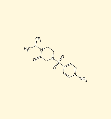 C[C@H](N1CCN(S(=O)(=O)c2ccc([N+](=O)[O-])cc2)CC1=O)C(F)(F)F